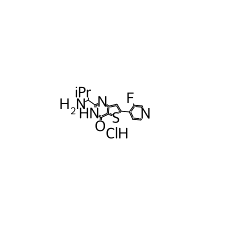 CC(C)C(N)c1nc2cc(-c3ccncc3F)sc2c(=O)[nH]1.Cl